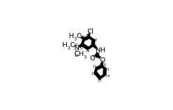 Cc1c(Cl)cc(NC(=O)Oc2ccccc2)cc1N(C)C